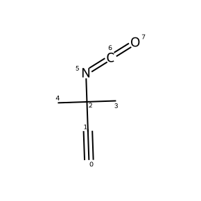 C#CC(C)(C)N=C=O